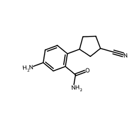 N#CC1CCC(c2ccc(N)cc2C(N)=O)C1